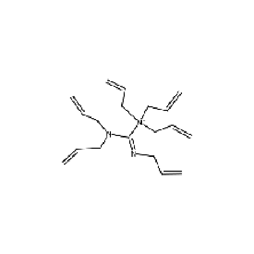 C=CCN=C(N(CC=C)CC=C)[N+](CC=C)(CC=C)CC=C